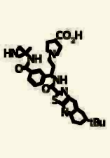 CC1(NC(=O)c2cccc(C(CCN3CCC(C(=O)O)CC3)NC(=O)c3nc4cc5c(nc4s3)CC[C@H](C(C)(C)C)C5)c2)CNC1